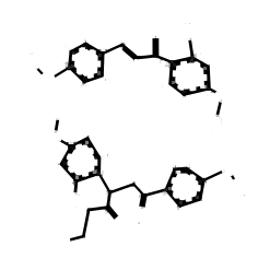 CCCC(=O)C(CC(=O)c1ccc(OC)cc1)c1ccc(OC)cc1Cl.COc1ccc(C=CC(=O)c2ccc(OC)cc2Cl)cc1